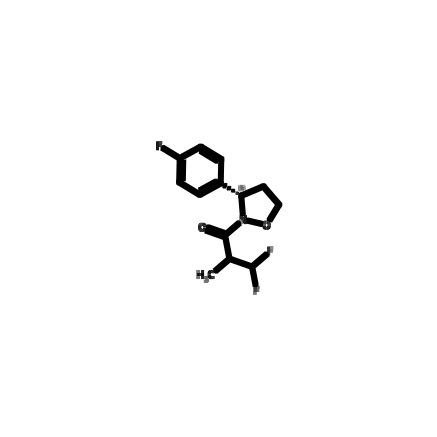 CC(C(=O)N1OCC[C@H]1c1ccc(F)cc1)C(F)F